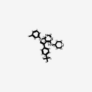 Cc1cccc(-n2cc(-c3ccc(C(C)(C)C)cc3)c3c(NC4CCOCC4)ncnc32)c1